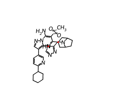 CS(=O)(=O)c1c(C2CC3CCC(C2)N3Cc2nnc[nH]2)nc2c(-c3ccc(C4CCCCC4)nc3)cnn2c1N